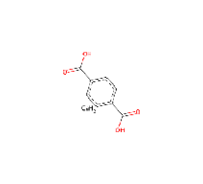 O=C(O)c1ccc(C(=O)O)cc1.[CaH2]